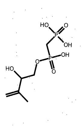 C=C(C)C(O)COP(=O)(O)CP(=O)(O)O